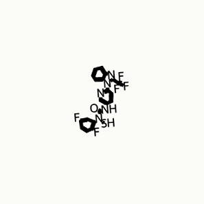 O=C(Nc1ccc(-n2c(C(F)(F)F)nc3ccccc32)nc1)N(S)c1cc(F)ccc1F